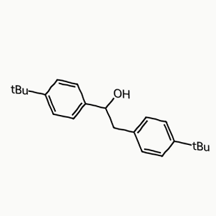 CC(C)(C)c1ccc(CC(O)c2ccc(C(C)(C)C)cc2)cc1